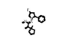 C=N/C(=N\N1CC(F)CC1c1ccccc1)C(=C)C1(C)CCCC1